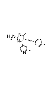 Cc1ccc(C#Cc2c(C)nc(N)nc2-c2ccnc(C)c2)cn1